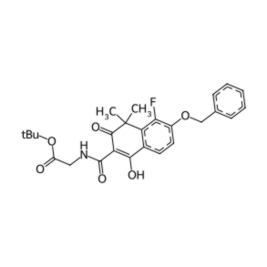 CC(C)(C)OC(=O)CNC(=O)C1=C(O)c2ccc(OCc3ccccc3)c(F)c2C(C)(C)C1=O